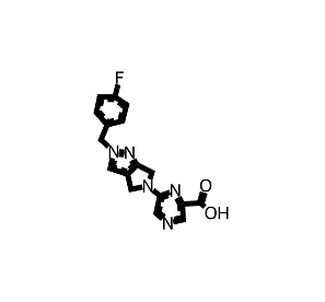 O=C(O)c1cncc(N2Cc3cn(Cc4ccc(F)cc4)nc3C2)n1